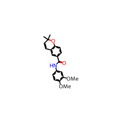 COc1ccc(NC(=O)c2ccc3c(c2)C=CC(C)(C)O3)cc1OC